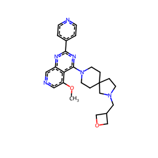 COc1cncc2nc(-c3ccncc3)nc(N3CCC4(CCN(CC5COC5)C4)CC3)c12